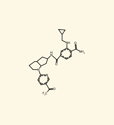 NC(=O)c1ccc(C(=O)NC2CC3CCCN(c4ccc(C(=O)C(F)(F)F)cn4)C3C2)cc1NCC1CC1